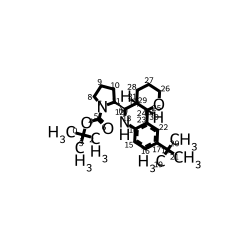 CC(C)(C)OC(=O)N1CCCC1[C@@H]1Nc2ccc(C(C)(C)C)cc2[C@H]2OCCC[C@H]21